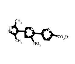 CCOC(=O)c1ccc(-c2ncc(-c3c(C)noc3C)cc2[N+](=O)[O-])cn1